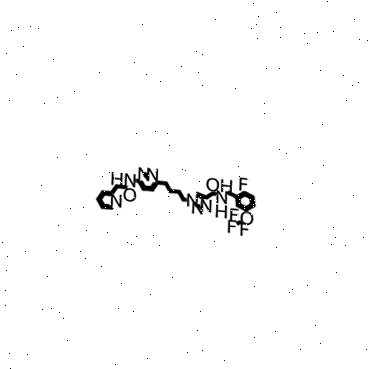 O=C(Cc1ccccn1)Nc1ccc(CCCCn2cc(C(O)NCc3cc(OC(F)(F)F)ccc3F)nn2)nn1